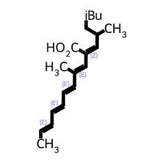 C/C=C/C=C/C=C/C(C)=C/C(=C/C(C)CC(C)CC)C(=O)O